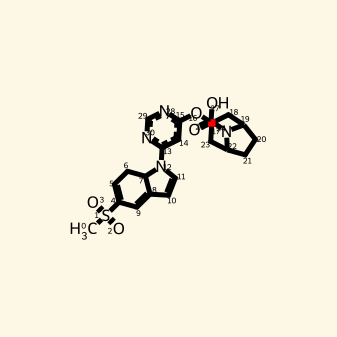 CS(=O)(=O)C1=CCC2C(=C1)C=CN2c1cc(OC2CC3CCC(C2)N3C(=O)O)ncn1